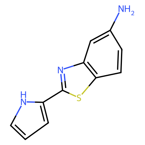 Nc1ccc2sc(-c3ccc[nH]3)nc2c1